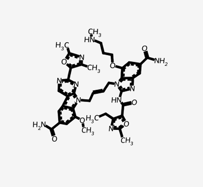 CCc1nc(C)oc1C(=O)Nc1nc2cc(C(N)=O)cc(OCCCNC)c2n1C/C=C/Cn1c2nc(-c3oc(C)nc3C)ncc2c2cc(C(N)=O)cc(OC)c21